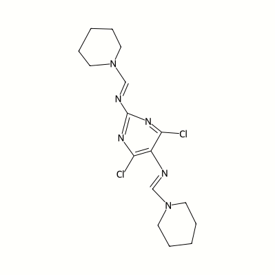 Clc1nc(N=CN2CCCCC2)nc(Cl)c1N=CN1CCCCC1